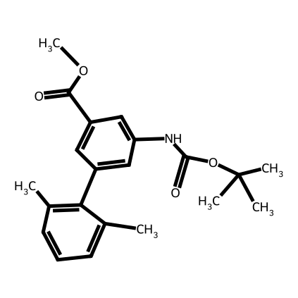 COC(=O)c1cc(NC(=O)OC(C)(C)C)cc(-c2c(C)cccc2C)c1